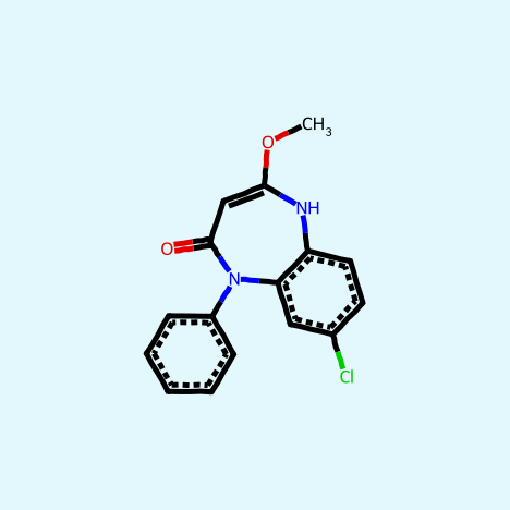 COC1=CC(=O)N(c2ccccc2)c2cc(Cl)ccc2N1